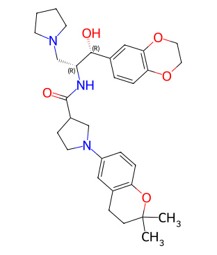 CC1(C)CCc2cc(N3CCC(C(=O)N[C@H](CN4CCCC4)[C@H](O)c4ccc5c(c4)OCCO5)C3)ccc2O1